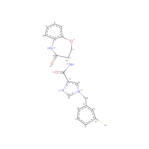 O=C(N[C@H]1COc2ccccc2NC1=O)c1cn(Cc2cccc(F)c2)cn1